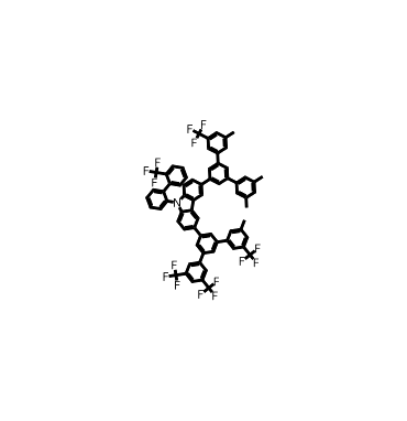 Cc1cc(C)cc(-c2cc(-c3cc(C)cc(C(F)(F)F)c3)cc(-c3ccc4c(c3)c3cc(-c5cc(-c6cc(C)cc(C(F)(F)F)c6)cc(-c6cc(C(F)(F)F)cc(C(F)(F)F)c6)c5)ccc3n4-c3ccccc3-c3ccccc3C(F)(F)F)c2)c1